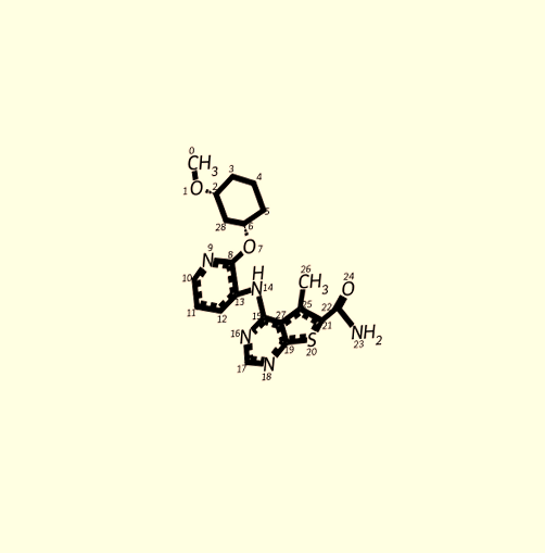 CO[C@@H]1CCC[C@H](Oc2ncccc2Nc2ncnc3sc(C(N)=O)c(C)c23)C1